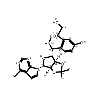 Cc1ncnc2c1ccn2[C@@H]1O[C@H](C(NC(=O)O)c2ccc(Cl)cc2CCO)[C@H]2OC(C)(C)O[C@H]21